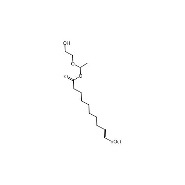 CCCCCCCCC=CCCCCCCCC(=O)OC(C)OCCO